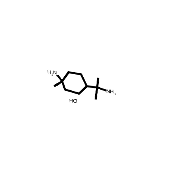 CC1(N)CCC(C(C)(C)N)CC1.Cl